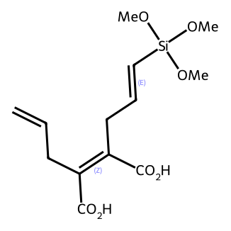 C=CC/C(C(=O)O)=C(\C/C=C/[Si](OC)(OC)OC)C(=O)O